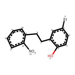 CCc1ccc(O)c(CCc2ccccc2[N+](=O)[O-])c1